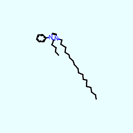 CCCCCCCCCCCCCCCCCCN1C=CN(c2ccccc2)C1CCCC